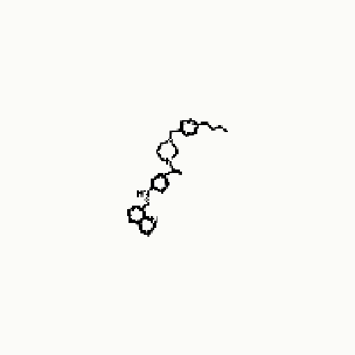 C=C(c1ccc(NSc2cccc3cccnc23)cc1)N1CCCN(Cc2ccc(CCCC)cc2)CC1